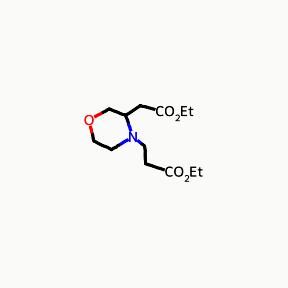 CCOC(=O)CCN1CCOCC1CC(=O)OCC